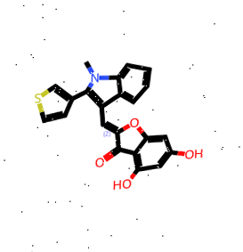 Cn1c(-c2ccsc2)c(/C=C2\Oc3cc(O)cc(O)c3C2=O)c2ccccc21